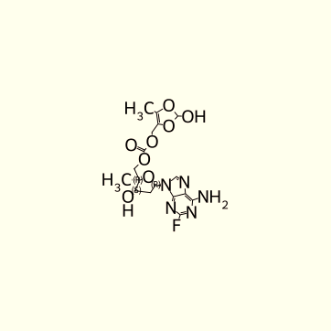 CC1=C(COC(=O)OC[C@@]2(C)O[C@@H](n3cnc4c(N)nc(F)nc43)C[C@@H]2O)OC(O)O1